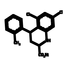 CCOC(=O)C1CC(c2ccccc2C)c2c(Cl)cc(Cl)cc2N1